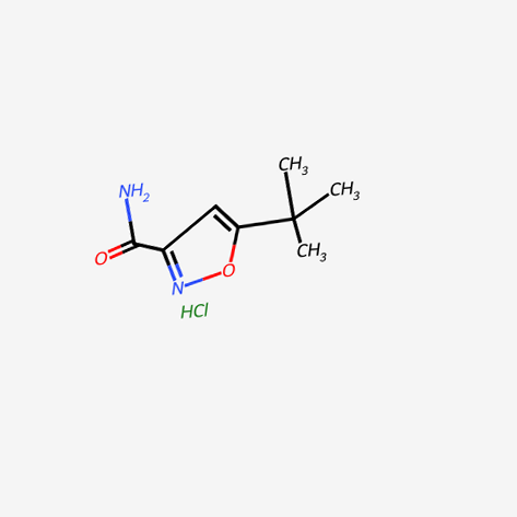 CC(C)(C)c1cc(C(N)=O)no1.Cl